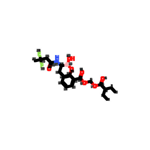 CCC(CC)C(=O)OCOC(=O)c1cccc2c1OB(O)C(NC(=O)CC(C)(F)F)C2